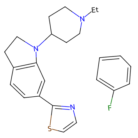 CCN1CCC(N2CCc3ccc(-c4nccs4)cc32)CC1.Fc1ccccc1